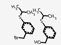 CC(C)Sc1cccc(CBr)c1.CC(C)Sc1cccc(CO)c1